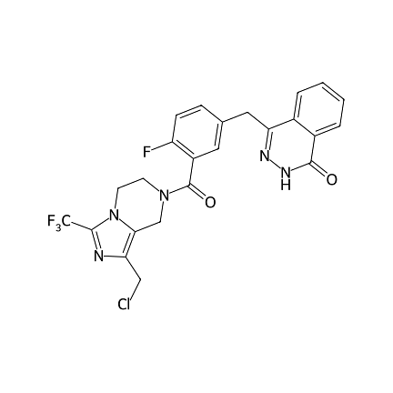 O=C(c1cc(Cc2n[nH]c(=O)c3ccccc23)ccc1F)N1CCn2c(C(F)(F)F)nc(CCl)c2C1